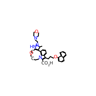 CC1C2=C(COCCCCn3c(C(=O)O)c(CCCOc4cccc5ccccc45)c4cccc2c43)NN1CCN1CCOCC1